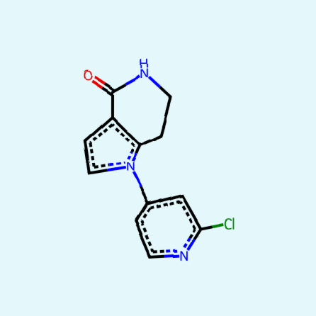 O=C1NCCc2c1ccn2-c1ccnc(Cl)c1